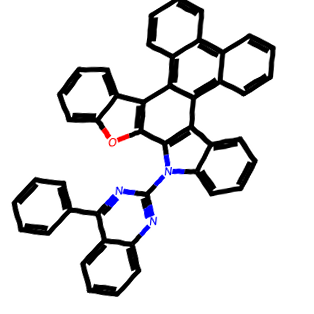 c1ccc(-c2nc(-n3c4ccccc4c4c5c6ccccc6c6ccccc6c5c5c6ccccc6oc5c43)nc3ccccc23)cc1